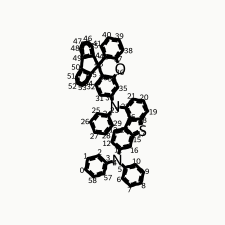 c1ccc(N(c2ccccc2)c2ccc3c(c2)sc2cccc(N(c4ccccc4)c4ccc5c(c4)Oc4ccccc4C54c5ccccc5-c5ccccc54)c23)cc1